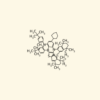 Cc1cc(C(C)(C)C)ccc1N1c2cc(C(C)(C)C)ccc2B2c3sc4cc5c(cc4c3N(c3cc4c(cc3C)C(C)(C)CCC4(C)C)c3cc(C4CCCCC4)cc1c32)C(C)(C)CCC5(C)C